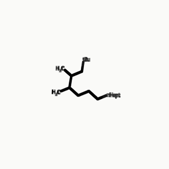 CCCCCCCCCCC(C)C(C)CC(C)(C)C